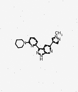 Cn1cc(-c2cc3c(-c4cccc(N5CCCCC5)n4)n[nH]c3cn2)cn1